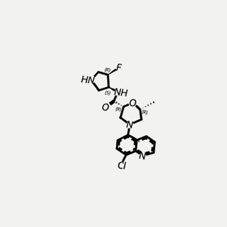 C[C@@H]1CN(c2ccc(Cl)c3ncccc23)C[C@H](C(=O)N[C@H]2CNC[C@H]2F)O1